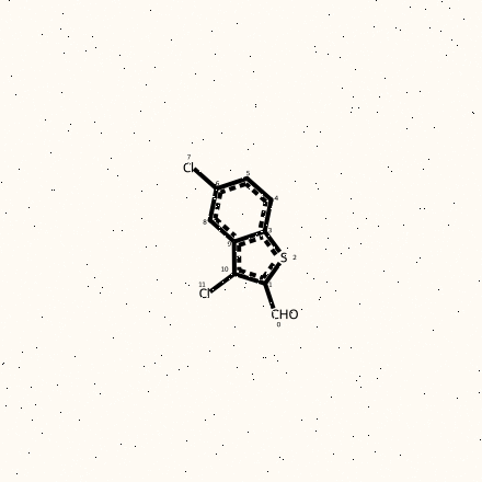 O=Cc1sc2ccc(Cl)cc2c1Cl